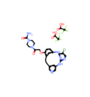 NC(=O)N1CCN(C(=O)COc2ccc3cc2CCc2cncc(c2)Nc2ncc(Cl)c(n2)N3)CC1.O=C(O)C(F)(F)F.O=C(O)C(F)(F)F